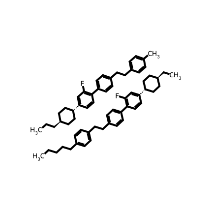 CCCCCc1ccc(CCc2ccc(-c3ccc([C@H]4CC[C@H](CC)CC4)cc3F)cc2)cc1.CCC[C@H]1CC[C@H](c2ccc(-c3ccc(CCc4ccc(C)cc4)cc3)c(F)c2)CC1